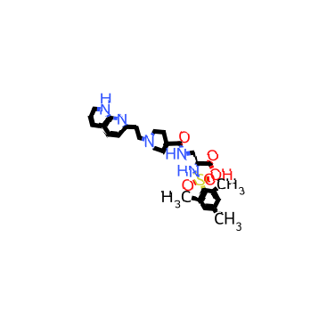 Cc1cc(C)c(S(=O)(=O)N[C@@H](CNC(=O)C2CCN(CCc3ccc4c(n3)NCCC4)CC2)C(=O)O)c(C)c1